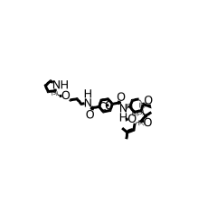 CO[C@H]1[C@H](C2(C)O[C@@H]2CC=C(C)C)[C@]2(CC[C@H]1NC(=O)C13CCC(C(=O)NCCCOC[C@@H]4CCCN4)(CC1)CC3)CO2